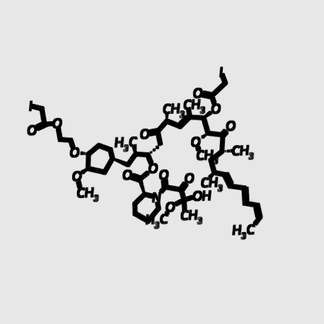 C\C=C/C=C/C=C/[C@@H](C)C[C@@H](C)C(=O)[C@H](OC)[C@H](OC(=O)CI)/C(C)=C/[C@@H](C)C(=O)C[C@H](OC(=O)[C@@H]1CCCCN1C(=O)C(=O)C(C)(O)OC)[C@H](C)C[C@@H]1CC[C@@H](OCCOC(=O)CI)[C@H](OC)C1